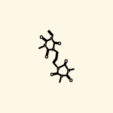 C=Cn1c(=O)n(C)c(=O)n(C=C=Cn2c(=O)n(C)c(=O)n(C)c2=O)c1=O